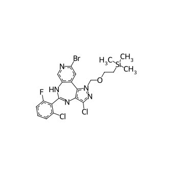 C[Si](C)(C)CCOCn1nc(Cl)c2c1-c1cc(Br)ncc1NC(c1c(F)cccc1Cl)=N2